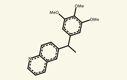 COc1cc(C(C)c2ccc3ncccc3c2)cc(OC)c1OC